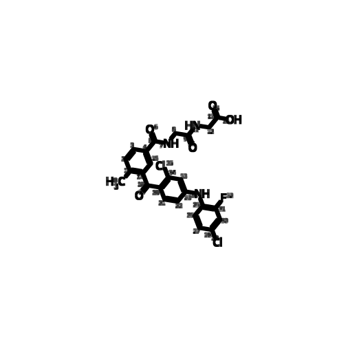 Cc1ccc(C(=O)NCC(=O)NCC(=O)O)cc1C(=O)c1ccc(Nc2ccc(Cl)cc2F)cc1Cl